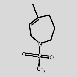 CC1=CCN(S(=O)(=O)C(F)(F)F)CCC1